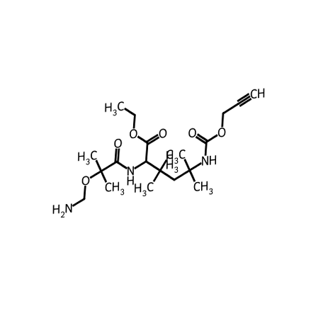 C#CCOC(=O)NC(C)(C)CC(C)(C)C(NC(=O)C(C)(C)OCN)C(=O)OCC